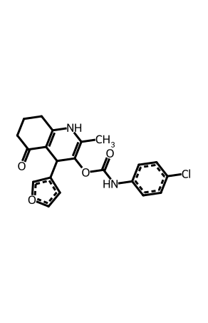 CC1=C(OC(=O)Nc2ccc(Cl)cc2)C(c2ccoc2)C2=C(CCCC2=O)N1